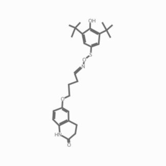 CC(C)(C)c1cc(SON=CCCCOc2ccc3c(c2)CCC(=O)N3)cc(C(C)(C)C)c1O